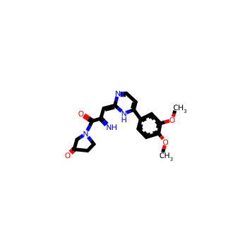 COc1ccc(C2=CC=N/C(=C/C(=N)C(=O)N3CCC(=O)C3)N2)cc1OC